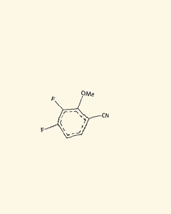 COc1c(C#N)ccc(F)c1F